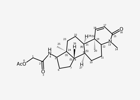 CC(=O)OCC(=O)NC1CC[C@H]2[C@@H]3CCC4N(C)C(=O)C=C[C@]4(C)[C@@H]3CC[C@]12C